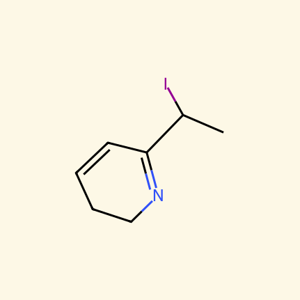 CC(I)C1=NCCC=C1